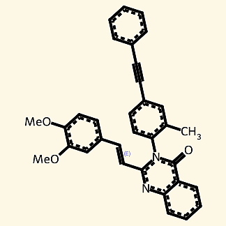 COc1ccc(/C=C/c2nc3ccccc3c(=O)n2-c2ccc(C#Cc3ccccc3)cc2C)cc1OC